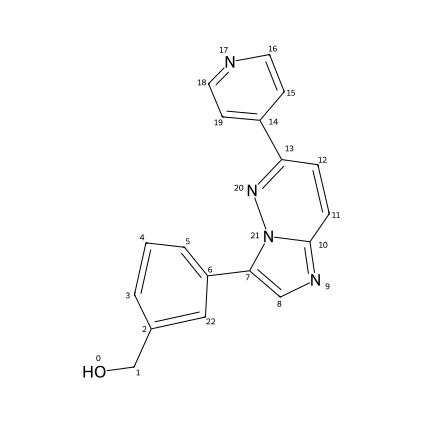 OCc1cccc(-c2cnc3ccc(-c4ccncc4)nn23)c1